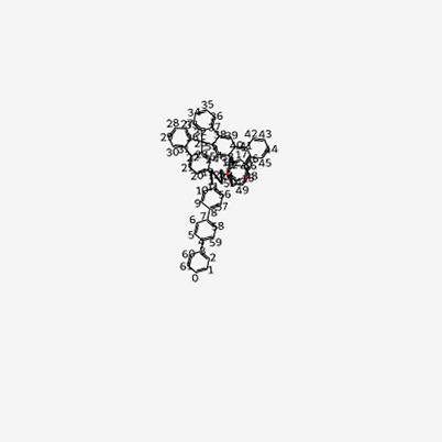 c1ccc(-c2ccc(-c3ccc(N(c4ccccc4)c4ccc5c(c4)C4(c6ccccc6-5)c5ccccc5-c5cc6c7ccccc7c7ccccc7c6cc54)cc3)cc2)cc1